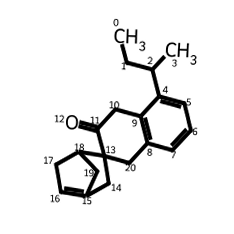 CCC(C)c1cccc2c1CC(=O)C1(CC3=CCC1C3)C2